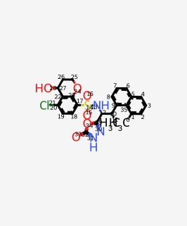 Cc1cccc2cccc([C@@H](C)[C@H](NS(=O)(=O)c3ccc(Cl)c4c3OCCC4O)c3n[nH]c(=O)o3)c12